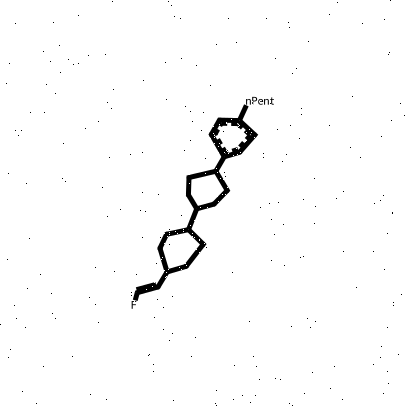 CCCCCc1ccc(C2CCC(C3CCC(C=CF)CC3)CC2)cc1